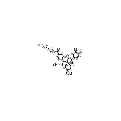 CCCCC[C@H](c1ccc(C(=O)NCCC(=O)O)cc1)N1C(=O)C(c2ccc(F)c(Cl)c2)=NC12CCC(C(C)(C)C)CC2